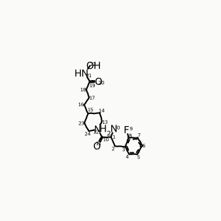 NC(Cc1ccccc1F)C(=O)N1CCC(CCCC(=O)NO)CC1